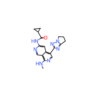 CNc1ncc(-c2nc3n(n2)CCC3)c2cc(NC(=O)C3CC3)ncc12